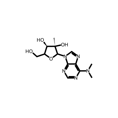 CN(C)c1ncnc2c1ncn2C1OC(CO)[C@@H](O)[C@@]1(C)O